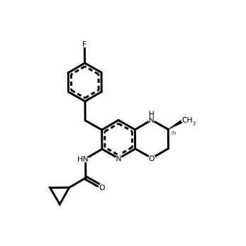 C[C@H]1COc2nc(NC(=O)C3CC3)c(Cc3ccc(F)cc3)cc2N1